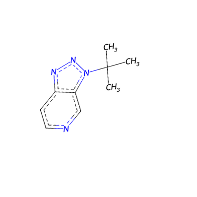 CC(C)(C)n1nnc2ccncc21